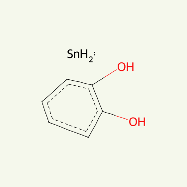 Oc1ccccc1O.[SnH2]